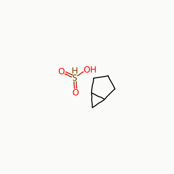 C1CC2CC2C1.O=[SH](=O)O